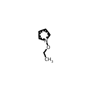 CCOn1cccc1